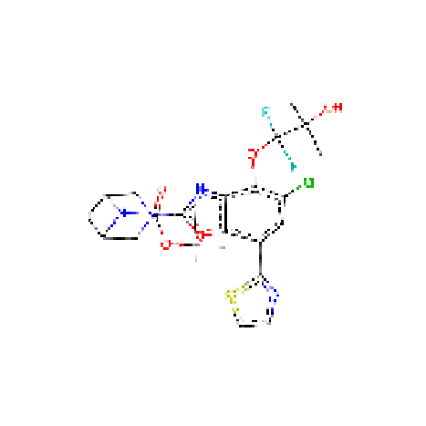 CC(C)(C)OC(=O)N1C2CC1CN(c1nc3c(OC(F)(F)C(C)(C)O)c(Cl)cc(-c4nccs4)c3o1)C2